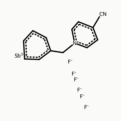 N#Cc1cc[n+](Cc2ccccc2)cc1.[F-].[F-].[F-].[F-].[F-].[F-].[Sb+3]